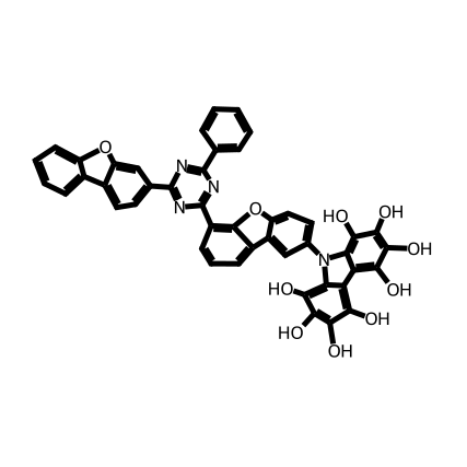 Oc1c(O)c(O)c2c(c1O)c1c(O)c(O)c(O)c(O)c1n2-c1ccc2oc3c(-c4nc(-c5ccccc5)nc(-c5ccc6c(c5)oc5ccccc56)n4)cccc3c2c1